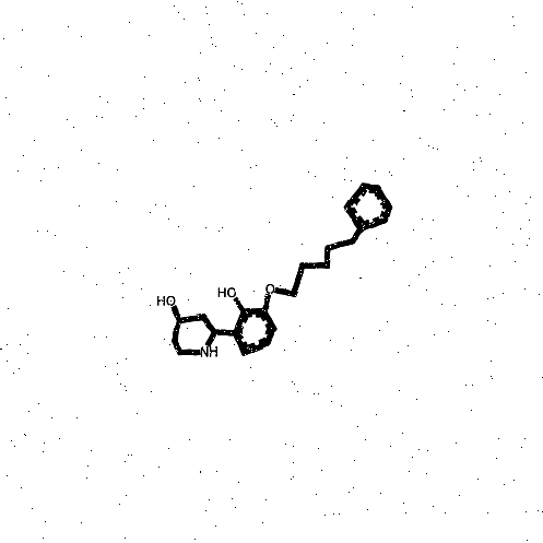 Oc1c(OCCCCCc2ccccc2)cccc1C1CC(O)CCN1